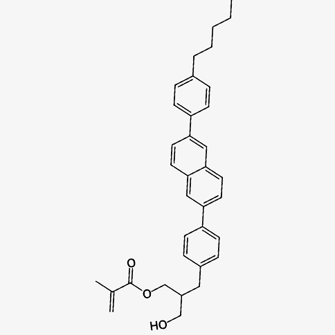 C=C(C)C(=O)OCC(CO)Cc1ccc(-c2ccc3cc(-c4ccc(CCCCC)cc4)ccc3c2)cc1